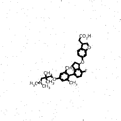 Cc1cc(OCC(C)(C)CN(C)C)cc(C)c1-c1ccc(F)c2c1CC[C@H]2Oc1ccc2c(c1)OCC2CC(=O)O